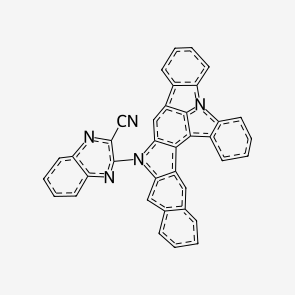 N#Cc1nc2ccccc2nc1-n1c2cc3ccccc3cc2c2c3c4ccccc4n4c5ccccc5c(cc21)c34